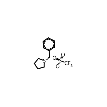 O=S(=O)([O-])C(F)(F)F.c1ccc(C[S+]2CCCC2)cc1